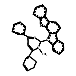 CN1C(C2=CC=CCC2)=CC(c2ccccc2)=NC1n1c2ccccc2c2ccc3c4ccccc4sc3c21